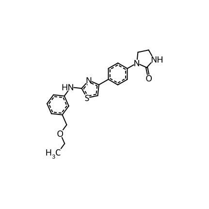 CCOCc1cccc(Nc2nc(-c3ccc(N4CCNC4=O)cc3)cs2)c1